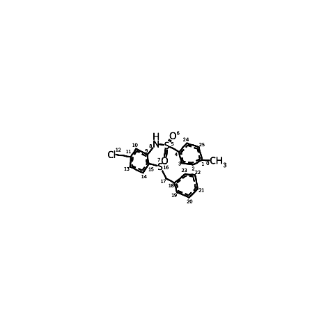 Cc1ccc(S(=O)(=O)Nc2cc(Cl)ccc2SCc2ccccc2)cc1